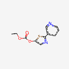 CCOC(=O)Oc1cnc(-c2cccnc2)s1